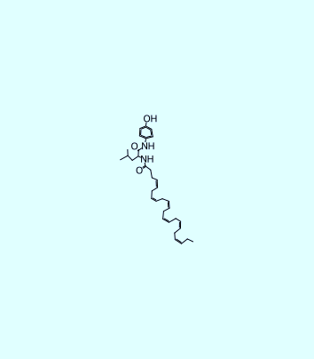 CC/C=C\C/C=C\C/C=C\C/C=C\C/C=C\C/C=C\CCC(=O)NC(CC(C)C)C(=O)Nc1ccc(O)cc1